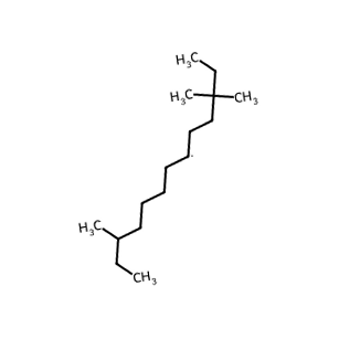 CCC(C)CCCC[CH]CCC(C)(C)CC